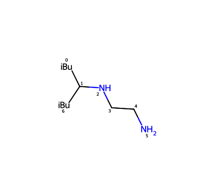 CCC(C)C(NCCN)C(C)CC